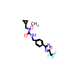 CON(CC1CC1)C(=O)NCc1ccc(-c2noc(C(F)(F)F)n2)cc1